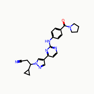 N#CCC(C1CC1)n1cc(-c2ccnc(Nc3ccc(C(=O)N4CCCC4)cc3)n2)cn1